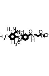 COC(=O)CCNC(=O)c1ccc2c(c1)nc(-c1ccc(C)cc1C(=N)N)n2C